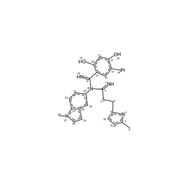 Cc1nc(CSC(=N)N(C(=N)c2cc(C(C)C)c(O)cc2O)c2ccc3c(ccn3C)c2)cs1